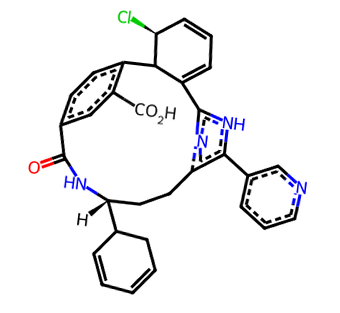 O=C1N[C@@H](C2C=CC=CC2)CCc2nc([nH]c2-c2cccnc2)C2=CC=C[C@H](Cl)C2c2ccc1cc2C(=O)O